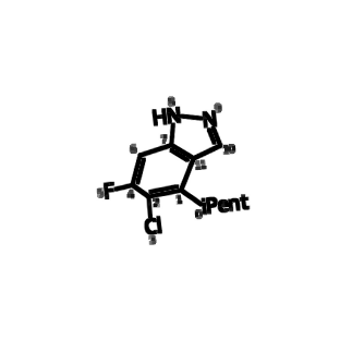 CCCC(C)c1c(Cl)c(F)cc2[nH]ncc12